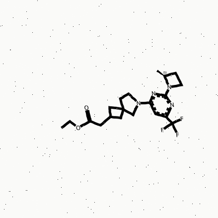 CCOC(=O)CC1CC2(CCN(c3cc(C(F)(F)F)nc(N4CC[C@@H]4C)n3)C2)C1